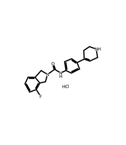 Cl.O=C(Nc1ccc(C2=CCNCC2)cc1)N1Cc2cccc(F)c2C1